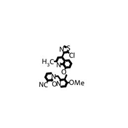 COc1ccnc(Cn2cccc(C#N)c2=O)c1COc1cccc2c(-c3ncsc3Cl)cc(C)nc12